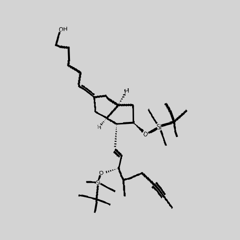 CC#CCC(C)[C@@H](/C=C/[C@@H]1[C@H]2C/C(=C/CCCCO)C[C@H]2C[C@H]1O[Si](C)(C)C(C)(C)C)O[Si](C)(C)C(C)(C)C